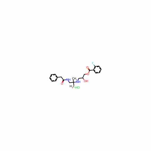 CC(C)(CNC(=O)Cc1ccccc1)NCC(O)COC(=O)c1ccccc1F.Cl